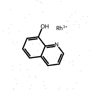 Oc1cccc2cccnc12.[Rh+3]